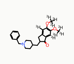 [2H]c1c2c(c([2H])c(OC([2H])([2H])[2H])c1OC([2H])([2H])[2H])C(=O)C(CC1CCN(Cc3ccccc3)CC1)C2